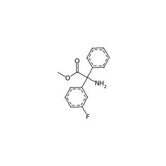 COC(=O)C(N)(c1ccccc1)c1cccc(F)c1